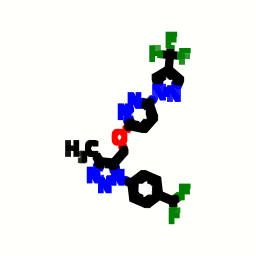 Cc1nnn(-c2ccc(C(F)F)cc2)c1COc1ccc(-n2cc(C(F)(F)F)cn2)nn1